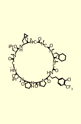 CC(C)C[C@H]1C(=O)N[C@@H](CC2CC2)C(=O)N(C)CC(=O)N(C)CC(=O)N(C)[C@@H](CC2CCCCC2)C(=O)N(C)CC(=O)N[C@@H](CCc2ccc(C(F)(F)F)c(Cl)c2)C(=O)N2CCC[C@H]2C(=O)NC2(CCCC2)C(=O)N(C)[C@@H](C(C)C)C(=O)N[C@H](C)CC(=O)N1C